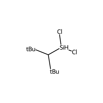 CC(C)(C)C([SiH](Cl)Cl)C(C)(C)C